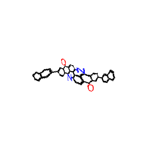 O=C1c2ccc3nc4c5c6c(nc(c2c36)=C2C=CC(c3ccc6ccccc6c3)=CC12)CC=C5C(=O)C1C=C(c2ccc3ccccc3c2)C=CC41